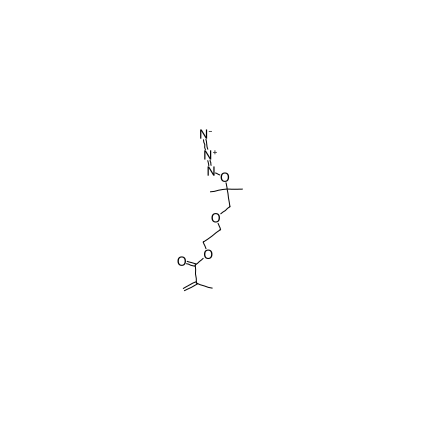 C=C(C)C(=O)OCCOCC(C)(C)ON=[N+]=[N-]